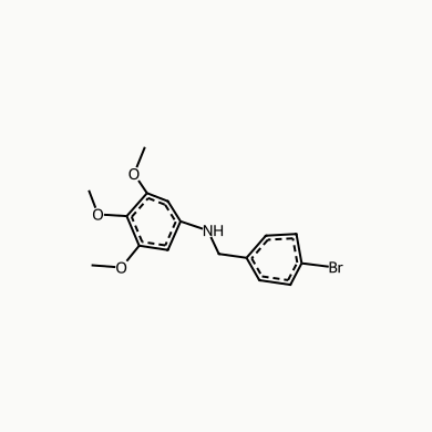 COc1cc(NCc2ccc(Br)cc2)cc(OC)c1OC